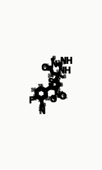 CN1C(=N)N[C@](C)(c2cc([N+](=O)[O-])c(-c3ccc(F)c(C#N)c3)s2)CC1=O